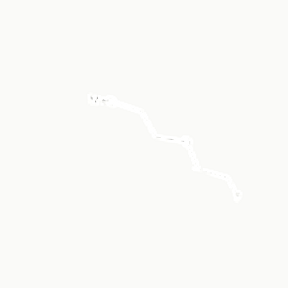 COCCO[CH]CF